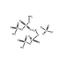 [NH3+][O][Cr](=[O])(=[O])[O][Cr](=[O])(=[O])[OH].[NH3+][O][Cr](=[O])(=[O])[O][Cr](=[O])(=[O])[OH].[O]=[Cr](=[O])([O-])[O-]